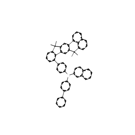 CC1(C)c2cc3c(cc2-c2c(-c4ccc(N(c5ccc(-c6ccccc6)cc5)c5ccc6ccccc6c5)cc4)cccc21)C(C)(C)c1cccc2cccc-3c12